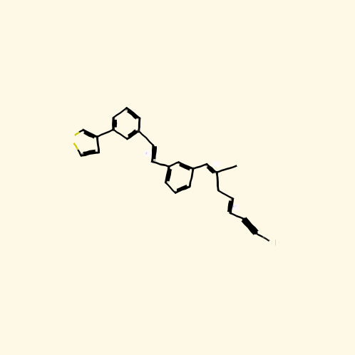 C/C(=C/c1cccc(/C=C/c2cccc(-c3ccsc3)c2)c1)C/C=C/C#CC(C)(C)C